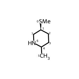 CS[C@H]1CCC(C)NC1